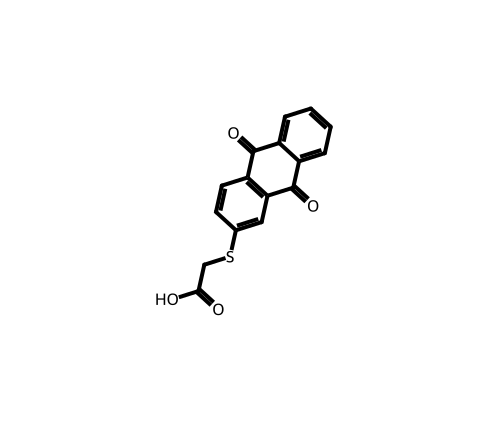 O=C(O)CSc1ccc2c(c1)C(=O)c1ccccc1C2=O